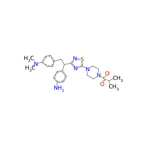 CC(C)S(=O)(=O)N1CCN(c2nc(C(Cc3ccc(N(C)C)cc3)c3ccc(N)cc3)ns2)CC1